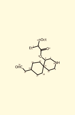 CCCCCCCCC(CC)C(=O)OC1CNCCC12CCC(CC=O)CC2